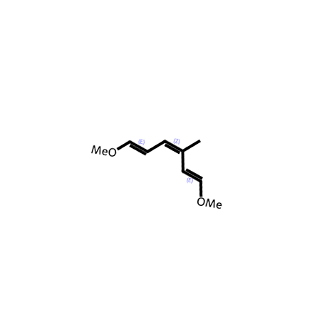 CO/C=C/C=C(C)\C=C\OC